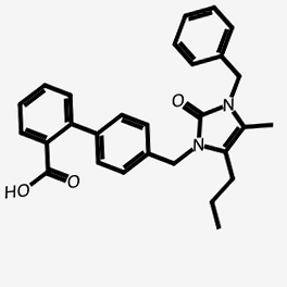 CCCc1c(C)n(Cc2ccccc2)c(=O)n1Cc1ccc(-c2ccccc2C(=O)O)cc1